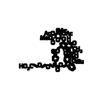 COC(=O)[C@H]1O[C@@H](Oc2cc(COC(=O)N3CCC(N(CCOCCOCCC(=O)O)C(=O)OCC4c5ccccc5-c5ccccc54)CC3)ccc2NC(=O)[C@H](C)NC(=O)[C@@H](NC(=O)OC(C)(C)C)C(C)C)[C@H](OC(C)=O)[C@@H](OC(C)=O)[C@@H]1OC(C)=O